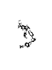 N#Cc1ccc(COc2cccc(C3CCN(Cc4nc5cc(-c6noc(C(F)(F)F)n6)cnc5n4C[C@@H]4CCO4)CC3)n2)c(F)c1